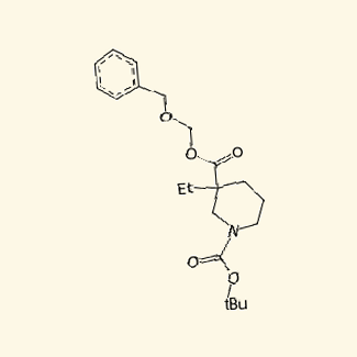 CCC1(C(=O)OCOCc2ccccc2)CCCN(C(=O)OC(C)(C)C)C1